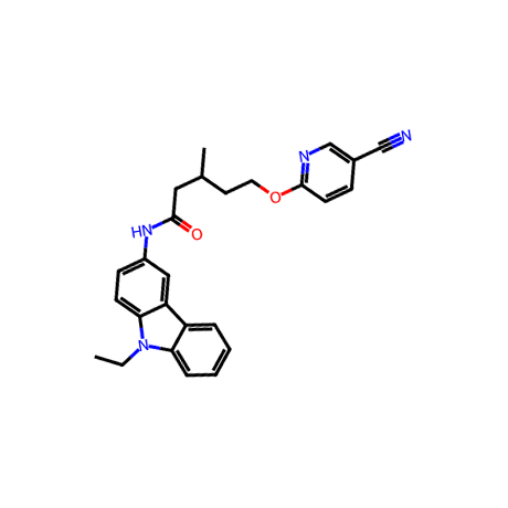 CCn1c2ccccc2c2cc(NC(=O)CC(C)CCOc3ccc(C#N)cn3)ccc21